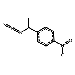 CC(N=[N+]=[N-])c1ccc([N+](=O)[O-])cc1